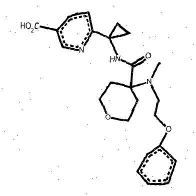 CN(CCOc1ccccc1)C1(C(=O)NC2(c3ccc(C(=O)O)cn3)CC2)CCOCC1